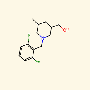 CC1CC(CO)CN(Cc2c(F)cccc2F)C1